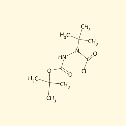 CC(C)(C)OC(=O)NN(C(=O)Cl)C(C)(C)C